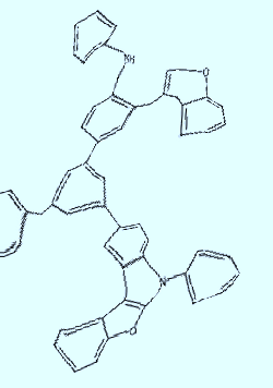 c1ccc(Nc2ccc(-c3cc(-c4ccccc4)cc(-c4ccc5c(c4)c4c6ccccc6oc4n5-c4ccccc4)c3)cc2-c2coc3ccccc23)cc1